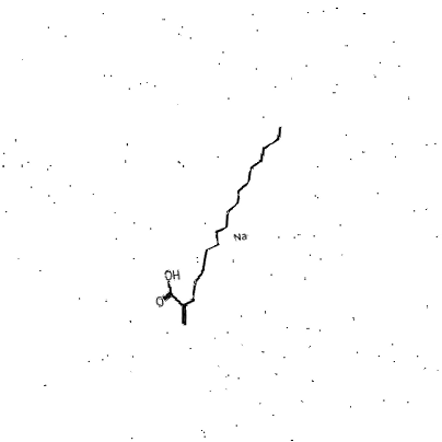 C=C(CCCCCCCCCCCCCCCC)C(=O)O.[Na]